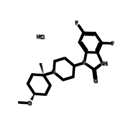 CO[C@H]1CC[C@](C)(N2CCC(n3c(=O)[nH]c4c(F)cc(F)cc43)CC2)CC1.Cl